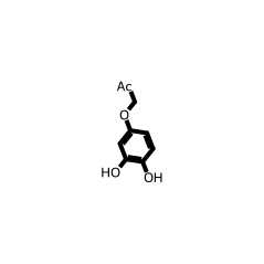 CC(=O)COc1ccc(O)c(O)c1